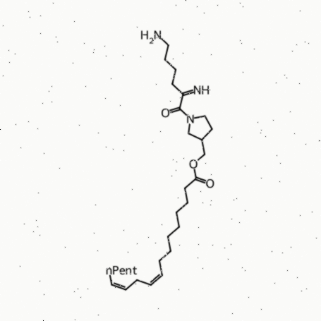 CCCCC/C=C\C/C=C\CCCCCCCC(=O)OCC1CCN(C(=O)C(=N)CCCCN)C1